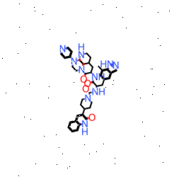 Cc1cc(CC(NC(=O)N2CCC(c3cc4ccccc4[nH]c3=O)CC2)C(=O)NC(CC2CCNCC2)C(=O)N2CCN(c3ccncc3)CC2)cc2cn[nH]c12